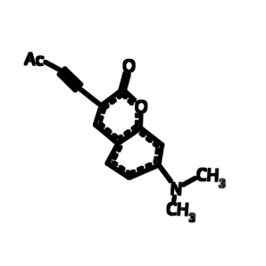 CC(=O)C#Cc1cc2ccc(N(C)C)cc2oc1=O